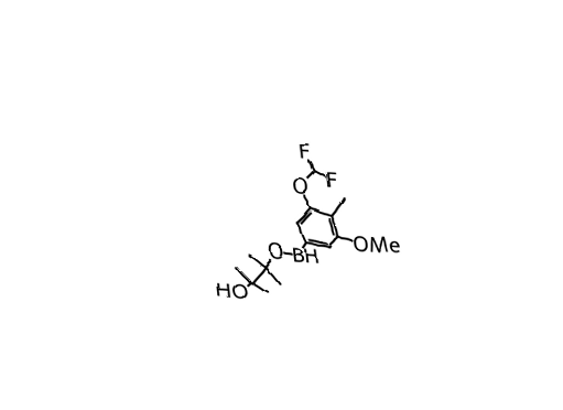 COc1cc(BOC(C)(C)C(C)(C)O)cc(OC(F)F)c1C